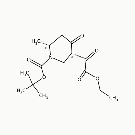 CCOC(=O)C(=O)[C@@H]1CN(C(=O)OC(C)(C)C)[C@H](C)CC1=O